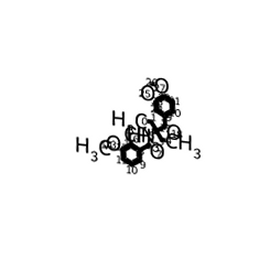 CCC(CC)(NC(=O)c1cccc(OC)c1C)C(=O)c1ccc2c(c1)OCO2